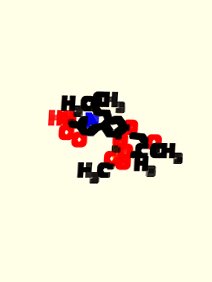 CCOP(=O)(COc1cc2c(cc1OCCCOC)CC(C(C)C)n1cc(C(=O)O)c(=O)cc1-2)OCC